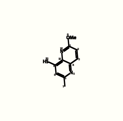 COc1ccc2nc(C)cc(S)c2n1